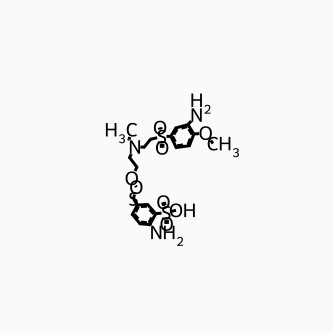 CCN(CCOOSc1ccc(N)c(S(=O)(=O)O)c1)CCS(=O)(=O)c1ccc(OC)c(N)c1